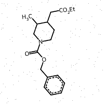 CCOC(=O)CC1CCN(C(=O)OCc2ccccc2)CC1C